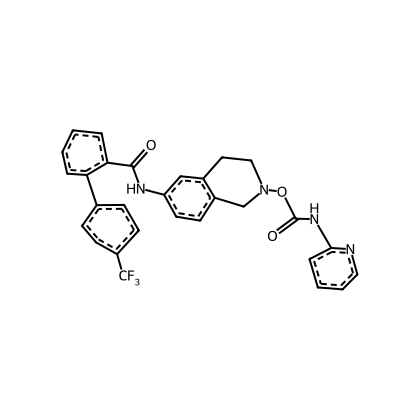 O=C(Nc1ccccn1)ON1CCc2cc(NC(=O)c3ccccc3-c3ccc(C(F)(F)F)cc3)ccc2C1